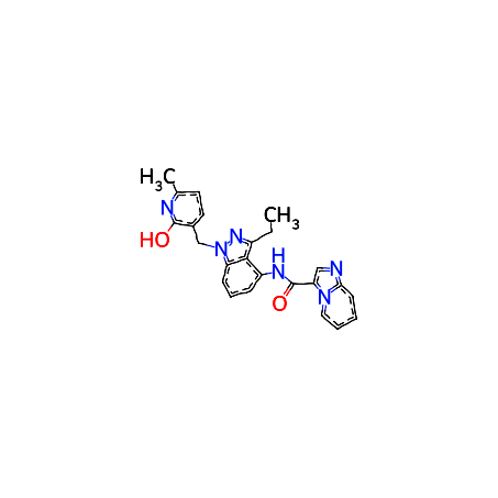 CCc1nn(Cc2ccc(C)nc2O)c2cccc(NC(=O)c3cnc4ccccn34)c12